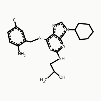 CC(O)CNc1nc(NCc2cc(Cl)ccc2N)c2ncn(C3CCCCC3)c2n1